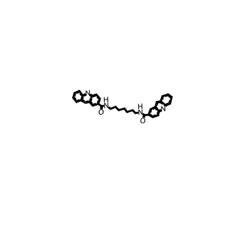 O=C(NCCC[CH]CCCNC(=O)c1ccc2nc3ccccc3cc2c1)c1ccc2nc3ccccc3cc2c1